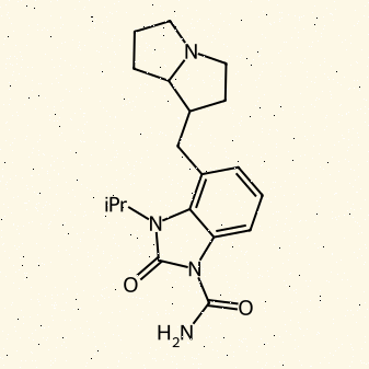 CC(C)n1c(=O)n(C(N)=O)c2cccc(CC3CCN4CCCC34)c21